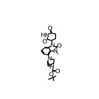 Cn1c(=O)n(C2CCC(=O)NC2=O)c2cccc(N3CC4CC3CN4C(=O)OC(C)(C)C)c21